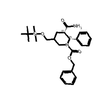 CC(C)(C)[Si](C)(C)OCC1C[C@H](C(N)=O)[C@H](c2ccccc2)N(C(=O)OCc2ccccc2)C1